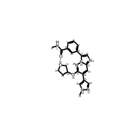 CNC(=O)c1cccc(-c2cnc3cc(-c4cnn(C)c4)c(OC4CCOC4)nn23)c1